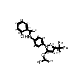 O=C(Nc1ccc(-n2nc(C(F)(F)F)cc2OC(F)F)cc1)c1ccccc1Cl